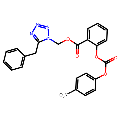 O=C(Oc1ccc([N+](=O)[O-])cc1)Oc1ccccc1C(=O)OCn1nnnc1Cc1ccccc1